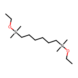 CCO[Si](C)(C)CCCCCC[Si](C)(C)OCC